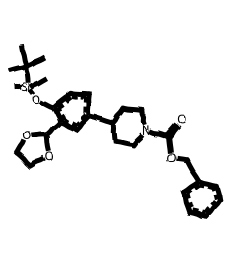 CC(C)(C)[Si](C)(C)Oc1ccc(C2CCN(C(=O)OCc3ccccc3)CC2)cc1C1OCCO1